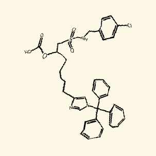 O=C(O)OC(CCCCc1cn(C(c2ccccc2)(c2ccccc2)c2ccccc2)cn1)CS(=O)(=O)NCc1ccc(Cl)cc1